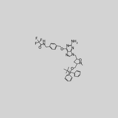 CN1OC(Cn2cnc3c(OCc4ccc(CNC(=O)C(F)(F)F)cc4)nc(N)nc32)CC1CO[Si](c1ccccc1)(c1ccccc1)C(C)(C)C